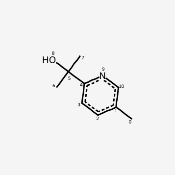 Cc1ccc(C(C)(C)O)nc1